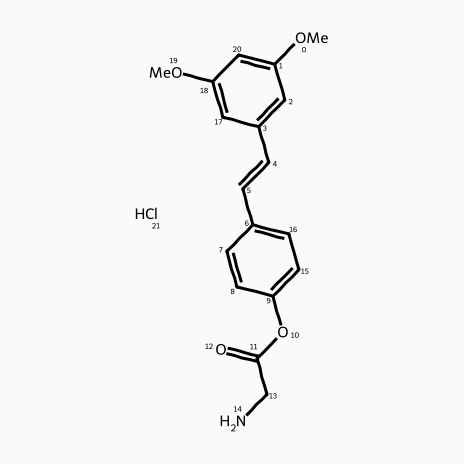 COc1cc(/C=C/c2ccc(OC(=O)CN)cc2)cc(OC)c1.Cl